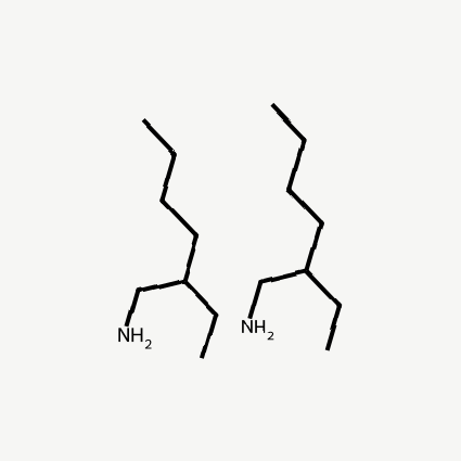 CCCCC(CC)CN.CCCCC(CC)CN